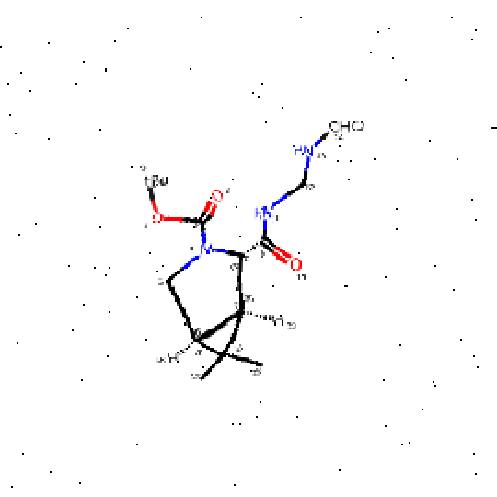 CC(C)(C)OC(=O)N1C[C@H]2[C@@H]([C@H]1C(=O)NCNC=O)C2(C)C